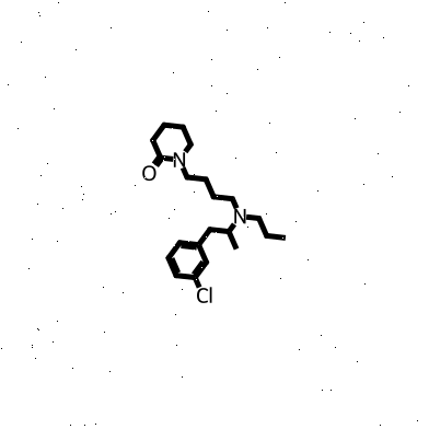 CCCN(CCCCN1CCCCC1=O)C(C)Cc1cccc(Cl)c1